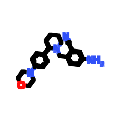 N#Cc1cc(N)ccc1CN1CCCCC1c1ccc(N2CCOCC2)cc1